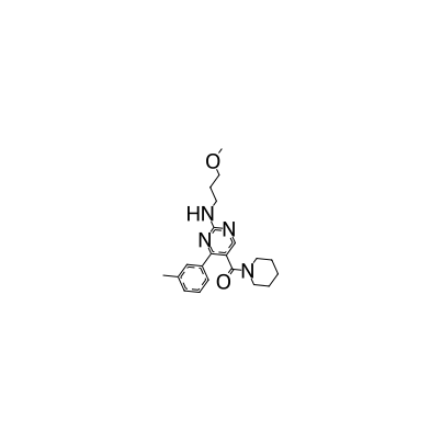 COCCCNc1ncc(C(=O)N2CCCCC2)c(-c2cccc(C)c2)n1